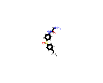 CCc1ccc([S+]([O-])c2ccc(NC(=O)CN)cc2)cc1